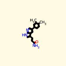 Cc1ccc(-c2cnc3[nH]cc(/C=C/C(N)=O)c3c2)cc1C